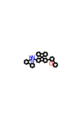 c1ccc2c(c1)-c1ccccc1C21c2cc(-c3cccc4c3oc3ccccc34)ccc2-c2ccc(-c3nnc4c5ccccc5c5ccccc5n34)cc21